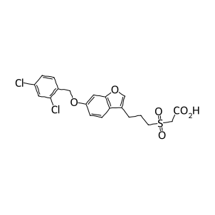 O=C(O)CS(=O)(=O)CCCc1coc2cc(OCc3ccc(Cl)cc3Cl)ccc12